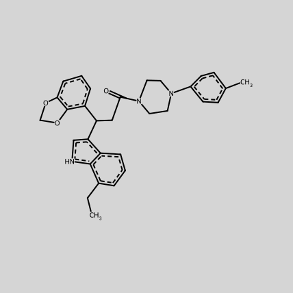 CCc1cccc2c(C(CC(=O)N3CCN(c4ccc(C)cc4)CC3)c3cccc4c3OCO4)c[nH]c12